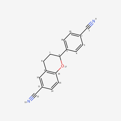 N#Cc1ccc(C2CCc3cc(C#N)ccc3O2)cc1